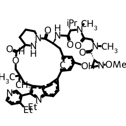 CCc1ccncc1-c1c2c3cc(ccc3n1CC)-c1cc(O)cc(c1)C[C@H](NC(=O)[C@H](C(C)C)N(C)C(=O)CN(C)C(=O)[C@H]1CN1OC)C(=O)N1CCC[C@H](N1)C(=O)OCC(C)(C)C2